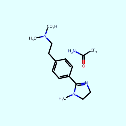 CN(CCc1ccc(C2=NCCN2C)cc1)C(=O)O.NC(=O)C(F)(F)F